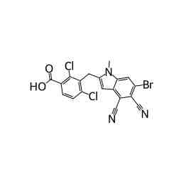 Cn1c(Cc2c(Cl)ccc(C(=O)O)c2Cl)cc2c(C#N)c(C#N)c(Br)cc21